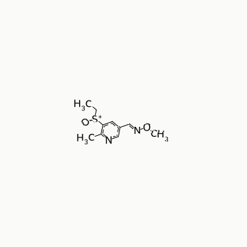 CC[S+]([O-])c1cc(/C=N/OC)cnc1C